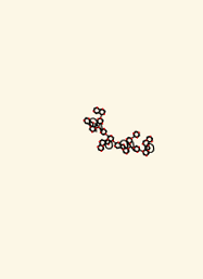 c1ccc(-c2cccc(N(c3ccc(-c4cccc5oc6c7ccccc7ccc6c45)cc3)c3cccc4c3oc3cc(-c5ccc(-c6ccc(N(c7ccc(-c8cccc9ccccc89)cc7)c7cccc8c7oc7ccccc78)cc6)c6c5oc5c7ccccc7ccc56)ccc34)c2)cc1